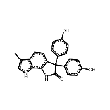 Cc1c[nH]c2c3c(ccc12)C(c1ccc(O)cc1)(c1ccc(O)cc1)C(=O)N3